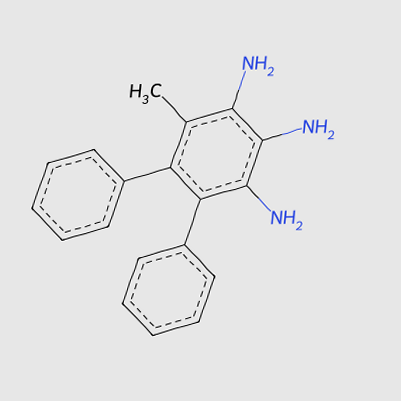 Cc1c(N)c(N)c(N)c(-c2ccccc2)c1-c1ccccc1